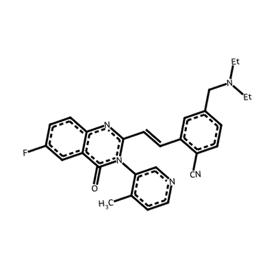 CCN(CC)Cc1ccc(C#N)c(C=Cc2nc3ccc(F)cc3c(=O)n2-c2cnccc2C)c1